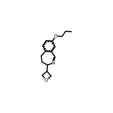 CCCOc1ccc2c(c1)C=NC(C1COC1)CC2